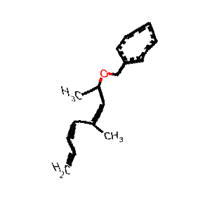 C=C/C=C\C(C)=C/C(C)OCc1ccccc1